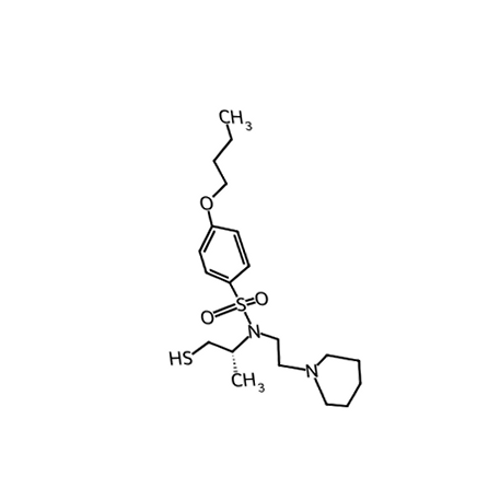 CCCCOc1ccc(S(=O)(=O)N(CCN2CCCCC2)[C@H](C)CS)cc1